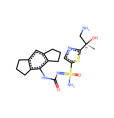 C[C@@](O)(CN)c1ncc(S(N)(=O)=NC(=O)Nc2c3c(cc4c2CCC4)CCC3)s1